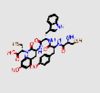 N[C@@H](CS)C(=O)N[C@@H](Cc1ccc(O)cc1)C(=O)N[C@@H](Cc1c[nH]c2ccccc12)C(=O)N[C@@H](Cc1ccc(O)cc1)C(=O)N[C@@H](CS)C(=O)O